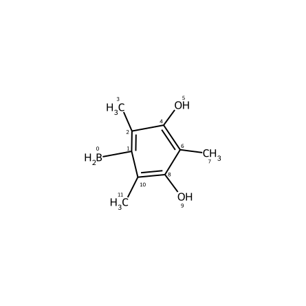 Bc1c(C)c(O)c(C)c(O)c1C